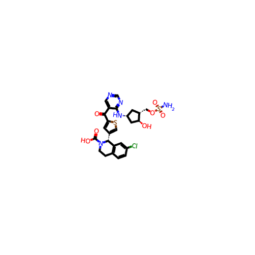 NS(=O)(=O)OC[C@H]1C[C@@H](Nc2ncncc2C(=O)c2cc([C@@H]3c4cc(Cl)ccc4CCN3C(=O)O)cs2)C[C@@H]1O